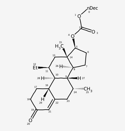 CCCCCCCCCCOC(=O)O[C@H]1CC[C@H]2[C@H]3[C@H]([C@@H](CC)C[C@]12C)[C@H]1CCC(=O)C=C1C[C@H]3C